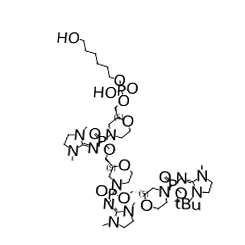 CN1CCN(C)C1=NP(=O)(OC[C@@H]1CN(P(=O)(N=C2N(C)CCN2C)OC[C@@H]2CN(P(=O)(N=C3N(C)CCN3C)OC(C)(C)C)CCO2)CCO1)N1CCO[C@H](COP(=O)(O)OCCCCCCO)C1